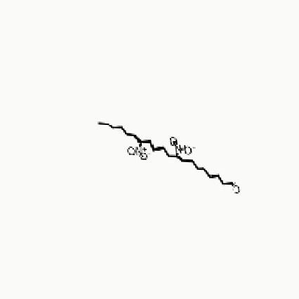 CCCCC/C=C(/C/C=C/C/C(=C/CCCCCC[C]=O)[N+](=O)[O-])[N+](=O)[O-]